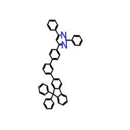 c1ccc(-c2cc(-c3ccc(-c4cccc(-c5ccc6c(c5)C(c5ccccc5)(c5ccccc5)c5ccccc5-6)c4)cc3)nc(-c3ccccc3)n2)cc1